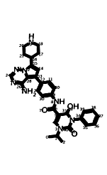 CC(C)N1C=C(C(=O)Nc2ccc(-c3cc(C4CCNCC4)n4ncnc(N)c34)cc2)C(O)N(c2ccccc2)C1=O